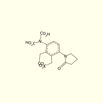 O=C1CCCN1c1ccc(N(C(=O)O)C(=O)O)c(CC(Cl)(Cl)Cl)c1CC(Cl)(Cl)Cl